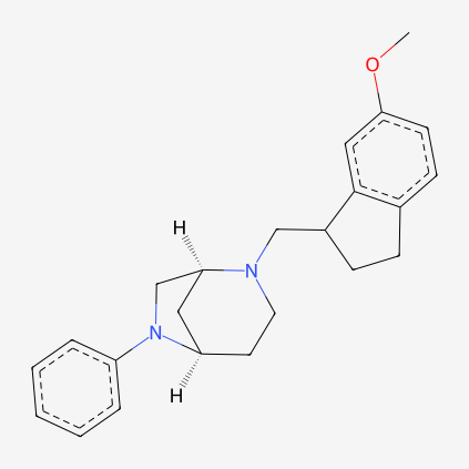 COc1ccc2c(c1)C(CN1CC[C@@H]3C[C@H]1CN3c1ccccc1)CC2